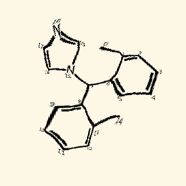 Cc1ccccc1C(c1ccccc1C)n1ccnc1